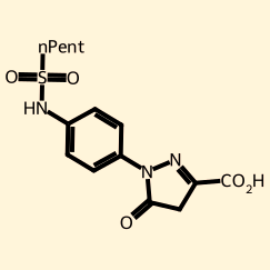 CCCCCS(=O)(=O)Nc1ccc(N2N=C(C(=O)O)CC2=O)cc1